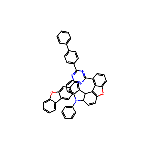 C1=CC2C(c3ccccc3N2c2ccccc2)c2c1oc1cccc(-c3nc(-c4ccc(-c5ccccc5)cc4)nc(-c4ccc5c(c4)oc4ccccc45)n3)c21